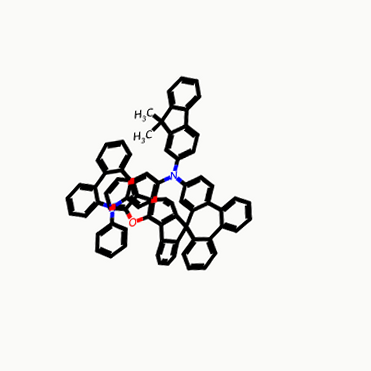 CC1(C)c2ccccc2-c2ccc(N(c3ccc4c(c3)-c3ccccc3-c3ccccc3N4c3ccccc3)c3ccc4c(c3)C3(c5ccccc5-c5ccccc5-4)c4ccccc4-c4c3ccc3c4oc4ccccc43)cc21